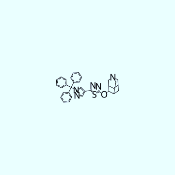 c1ccc(C(c2ccccc2)(c2ccccc2)n2cc(-c3nnc(OC4C5CC6CC4CN(C6)C5)s3)cn2)cc1